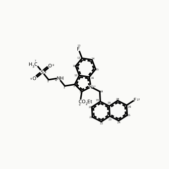 CCOC(=O)c1c(CNCS(C)(=O)=O)c2cc(F)ccc2n1Cc1cccc2ccc(F)cc12